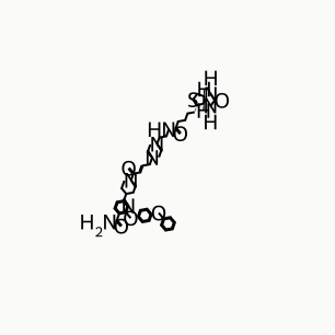 NC(=O)c1ccc(C2CCN(C(=O)/C=C/CN3CCN(CCNC(=O)CCCC[C@@H]4SC[C@@H]5NC(=O)N[C@@H]54)CC3)CC2)nc1Oc1ccc(Oc2ccccc2)cc1